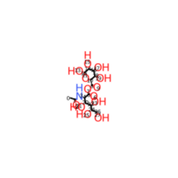 CC(=O)N[C@H](C(=O)OC(=O)[C@H]1O[C@@H](O)[C@H](O)[C@@H](O)[C@@H]1O)[C@@H](O)[C@H](O)[C@H](O)CO